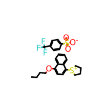 CCCCOc1ccc([S+]2CCCC2)c2ccccc12.O=S(=O)([O-])c1ccc(C(F)(F)F)cc1